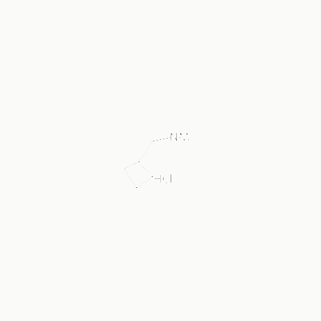 CNCC1CCC1.Cl